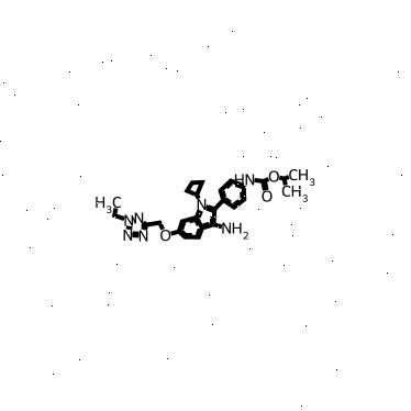 CCn1nnc(COc2ccc3c(N)c(-c4ccc(NC(=O)OC(C)C)cc4)n(C4CCC4)c3c2)n1